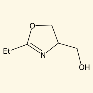 CCC1=NC(CO)CO1